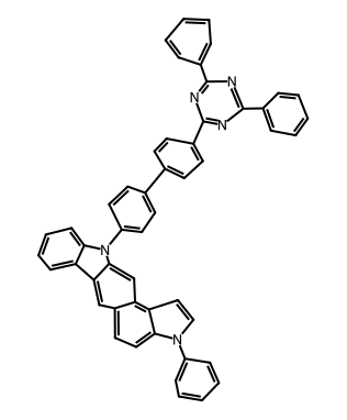 c1ccc(-c2nc(-c3ccccc3)nc(-c3ccc(-c4ccc(-n5c6ccccc6c6cc7ccc8c(ccn8-c8ccccc8)c7cc65)cc4)cc3)n2)cc1